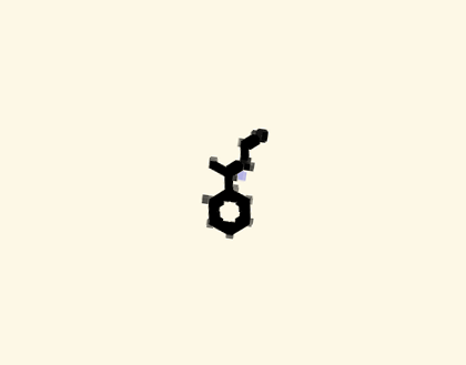 C/C(=N\C=O)c1ccccc1